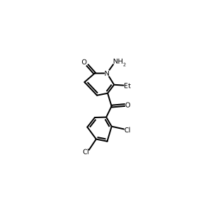 CCc1c(C(=O)c2ccc(Cl)cc2Cl)ccc(=O)n1N